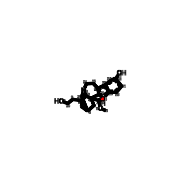 COC(=O)C12CC3CC(CCO)C1N(CCc1c2[nH]c2ccc(O)cc12)C3